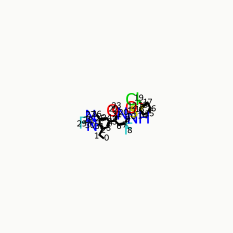 CCc1cc(-c2cc(F)c(N[S+]([O-])c3ccccc3Cl)nc2OC)cc2cnc(F)nc12